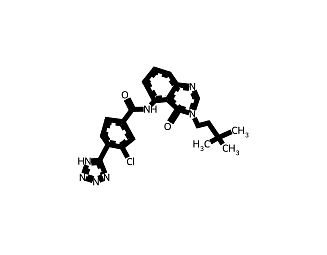 CC(C)(C)CCn1cnc2cccc(NC(=O)c3ccc(-c4nnn[nH]4)c(Cl)c3)c2c1=O